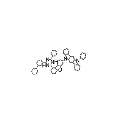 C1=CC(c2cccc(C3N=C(c4ccccc4)NC(c4cccc5oc6cc(-n7c8ccccc8c8cc9c(cc87)c7ccccc7n9-c7ccccc7)ccc6c45)N3)c2)=CCC1